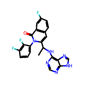 CC(Nc1ncnc2[nH]cnc12)c1cc2ccc(F)cc2c(=O)n1-c1cccc(F)c1F